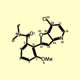 COc1cccc(C(=O)N(C)C)c1-c1cc2nccc(Cl)c2o1